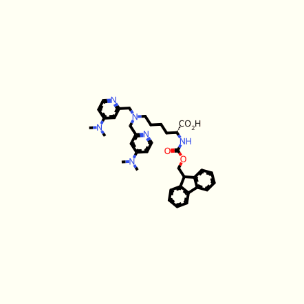 CN(C)c1ccnc(CN(CCCC[C@@H](NC(=O)OCC2c3ccccc3-c3ccccc32)C(=O)O)Cc2cc(N(C)C)ccn2)c1